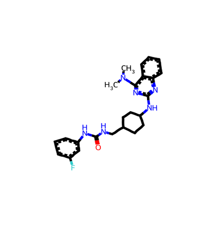 CN(C)c1nc(NC2CCC(CNC(=O)Nc3cccc(F)c3)CC2)nc2ccccc12